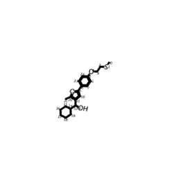 CSCCOc1ccc(-c2cc(C(O)C3CCCCC3)c(C)o2)cc1